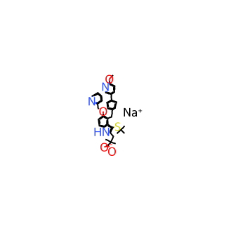 COc1ccc(-c2ccc(Cc3c(OCc4ccccn4)ccc4[nH]c(CC(C)(C)C(=O)[O-])c(SC(C)(C)C)c34)cc2)cn1.[Na+]